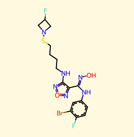 O/N=C(\Nc1ccc(F)c(Br)c1)c1nonc1NCCCCSN1CC(F)C1